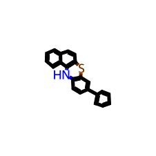 c1ccc(-c2ccc3c(c2)Sc2ccc4ccccc4c2N3)cc1